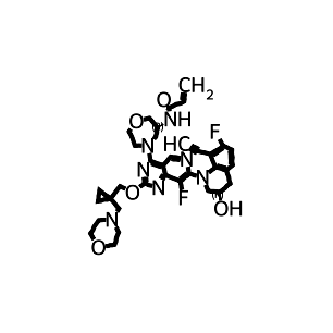 C#Cc1c(F)ccc2c1N(c1ncc3c(N4CCOC[C@H](NC(=O)C=C)C4)nc(OCC4(CN5CCOCC5)CC4)nc3c1F)C[C@H](O)C2